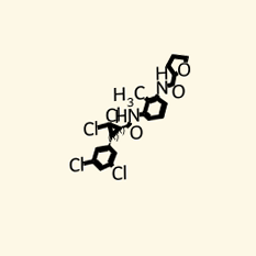 Cc1c(NC(=O)C2CCCO2)cccc1NC(=O)[C@H]1[C@H](c2cc(Cl)cc(Cl)c2)C1(Cl)Cl